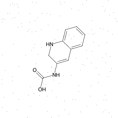 O=C(O)NC1=Cc2ccccc2NC1